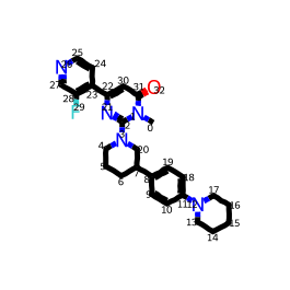 Cn1c(N2CCCC(c3ccc(N4CCCCC4)cc3)C2)nc(-c2ccncc2F)cc1=O